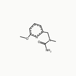 COc1cccc(CN(C)C(N)=O)n1